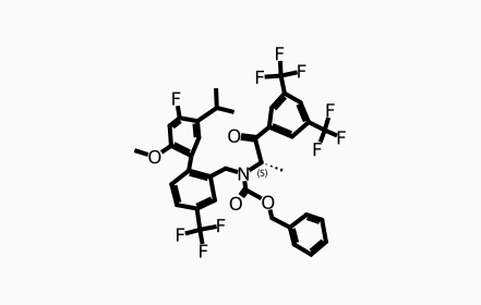 COc1cc(F)c(C(C)C)cc1-c1ccc(C(F)(F)F)cc1CN(C(=O)OCc1ccccc1)[C@@H](C)C(=O)c1cc(C(F)(F)F)cc(C(F)(F)F)c1